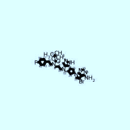 CC(C)(C)OC(=O)N(CCCN(C[C@@H]1CC[C@H](n2cc(Br)c3c(N)ncnc32)C1)c1cn[nH]c1)CCc1ccc(F)cc1